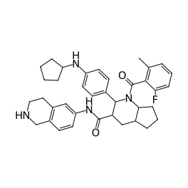 Cc1cccc(F)c1C(=O)N1C2CCCC2CC(C(=O)Nc2ccc3c(c2)CCNC3)C1c1ccc(NC2CCCC2)cc1